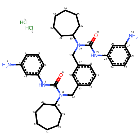 Cl.Cl.Nc1cccc(NC(=O)N(Cc2cccc(CN(C(=O)Nc3cccc(N)c3)C3CCCCCC3)c2)C2CCCCCC2)c1